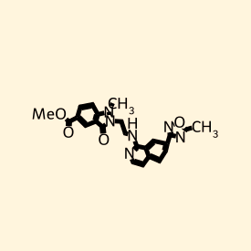 COC(=O)c1ccc2c(c1)c(=O)n(CCNc1nccc3ccc(-c4noc(C)n4)cc13)n2C